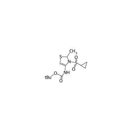 CC1SC=C(NC(=O)OC(C)(C)C)N1S(=O)(=O)C1CC1